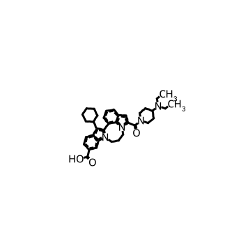 CCN(CC)C1CCN(C(=O)c2cc3cccc4c3n2CCCn2c-4c(C3CCCCC3)c3ccc(C(=O)O)cc32)CC1